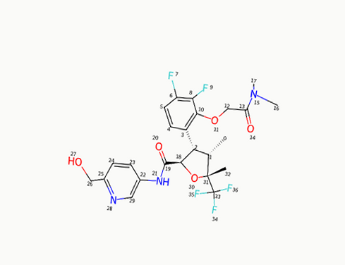 C[C@H]1[C@@H](c2ccc(F)c(F)c2OCC(=O)N(C)C)[C@H](C(=O)Nc2ccc(CO)nc2)O[C@@]1(C)C(F)(F)F